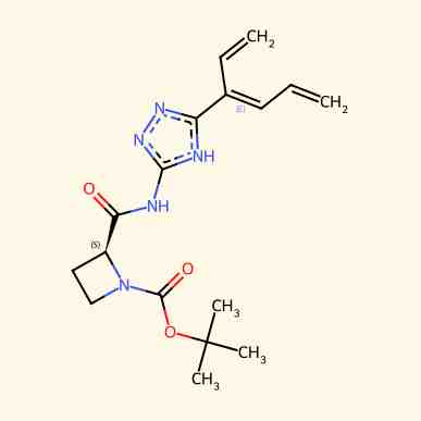 C=C/C=C(\C=C)c1nnc(NC(=O)[C@@H]2CCN2C(=O)OC(C)(C)C)[nH]1